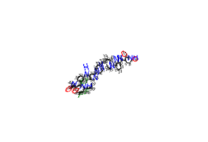 Cn1nc(C2CCC(=O)NC2=O)c2cccc(N3CCC(CN4CCN(c5cc(Nc6ccc7c(c6)c6c(c(=O)n7C)OCC(F)(F)C(C7CC7)N6)c(Cl)cn5)CC4)CC3)c21